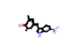 Cc1cc(Cc2c[nH]c3cc([N+](=O)[O-])ccc23)cc(C)c1O